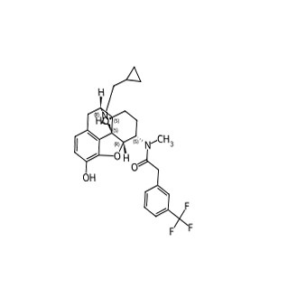 CN(C(=O)Cc1cccc(C(F)(F)F)c1)[C@H]1CC[C@@]2(O)[C@H]3Cc4ccc(O)c5c4[C@@]2(CCN3CC2CC2)[C@H]1O5